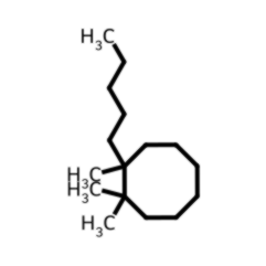 CCCCCC1(C)CCCCCCC1(C)C